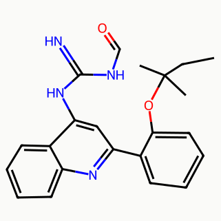 CCC(C)(C)Oc1ccccc1-c1cc(NC(=N)NC=O)c2ccccc2n1